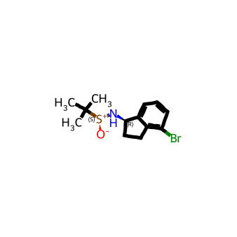 CC(C)(C)[S@@+]([O-])N[C@@H]1CCc2c(Br)cccc21